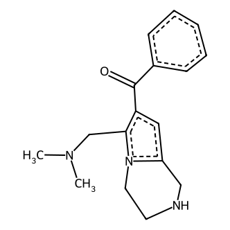 CN(C)Cc1c(C(=O)c2ccccc2)cc2n1CCNC2